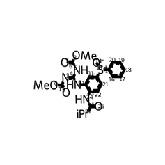 COC(=O)N=C(NC(=O)OC)Nc1cc([S+]([O-])c2ccccc2)ccc1NC(=O)C(C)C